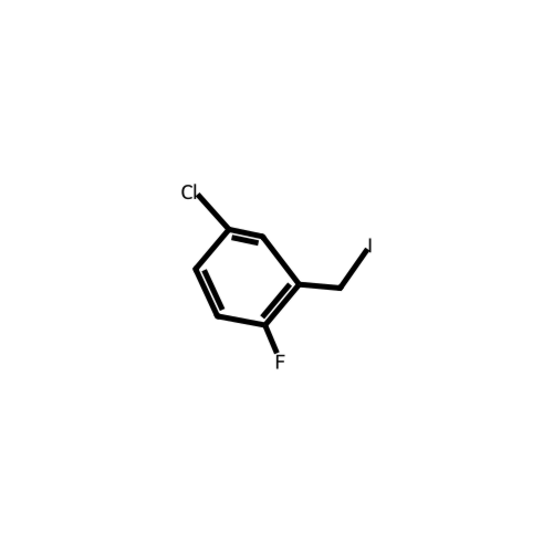 Fc1ccc(Cl)cc1CI